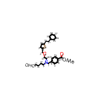 COC(=O)c1ccc(CN(CCCCC=O)CCOCc2ccc(CCc3ccccc3)s2)cc1